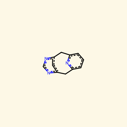 c1cc2nc(c1)Cc1cc(ncn1)C2